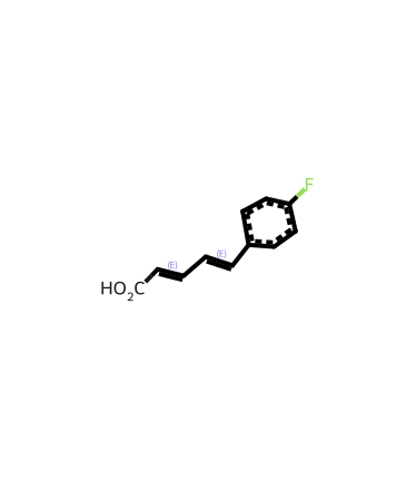 O=C(O)/C=C/C=C/c1ccc(F)cc1